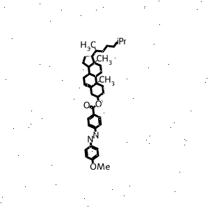 COc1ccc(N=Nc2ccc(C(=O)OC3CC[C@@]4(C)C(=CCC5C4CC[C@@]4(C)C5CC[C@@H]4[C@H](C)CCCC(C)C)C3)cc2)cc1